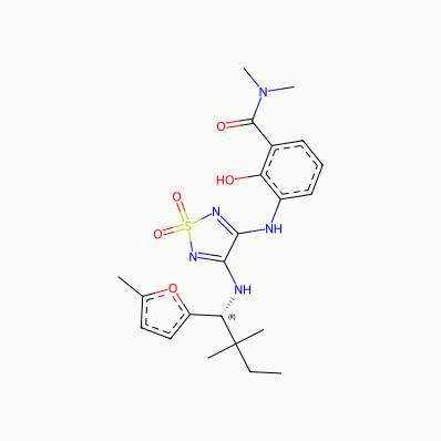 CCC(C)(C)[C@@H](NC1=NS(=O)(=O)N=C1Nc1cccc(C(=O)N(C)C)c1O)c1ccc(C)o1